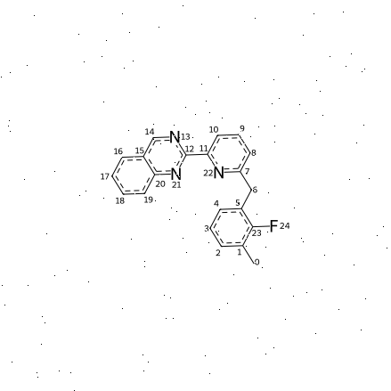 Cc1cccc(Cc2cccc(-c3ncc4ccccc4n3)n2)c1F